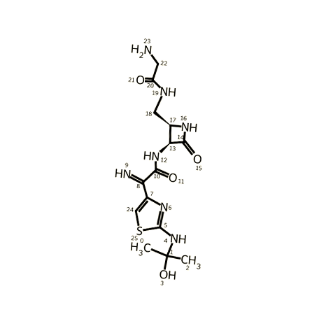 CC(C)(O)Nc1nc(C(=N)C(=O)N[C@@H]2C(=O)N[C@@H]2CNC(=O)CN)cs1